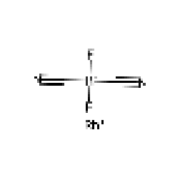 N#C[B-](F)(F)C#N.[Rb+]